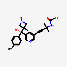 CC(C)C(=O)NC(C)(C)C#Cc1cncc([C@@](O)(c2ccc(C(C)C)cc2)C2(C)CN(C)C2)c1